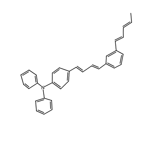 CC=CC=Cc1cccc(C=CC=Cc2ccc(N(c3ccccc3)c3ccccc3)cc2)c1